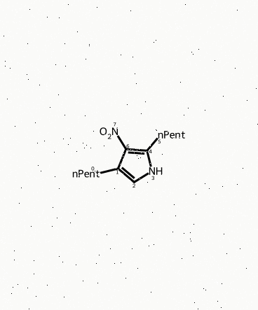 CCCCCc1c[nH]c(CCCCC)c1[N+](=O)[O-]